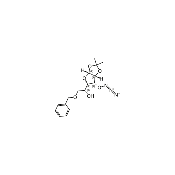 CC1(C)O[C@H]2O[C@H]([C@H](O)COCc3ccccc3)[C@@H](ON=[N+]=[N-])[C@H]2O1